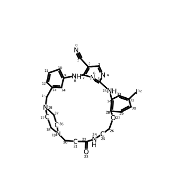 N#Cc1cnc2nc1Nc1cccc(c1)CN1CCN(CCC(=O)NCCOc3ccc(I)cc3N2)CC1